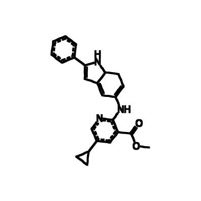 COC(=O)c1cc(C2CC2)cnc1NC1=CCC2NC(c3ccccc3)=CC2=C1